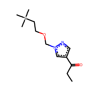 CCC(=O)c1cnn(COCC[Si](C)(C)C)c1